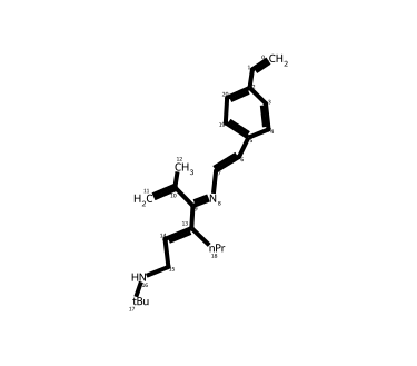 C=Cc1ccc(/C=C/N=C(C(=C)C)/C(=C/CNC(C)(C)C)CCC)cc1